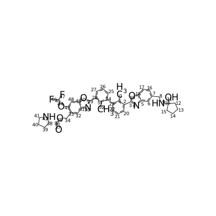 Cc1c(-c2nc3cc(CNC4(O)CCCC4)ccc3o2)cccc1-c1cccc(-c2nc3cc(COC(=O)[C@@H]4CCCN4)c(OC(F)F)cc3o2)c1C